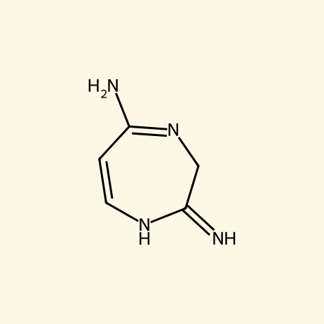 N=C1CN=C(N)C=CN1